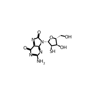 NC1=NC(=O)C2=NC(=O)N([C@@H]3O[C@H](CO)[C@@H](O)[C@H]3S)C2=N1